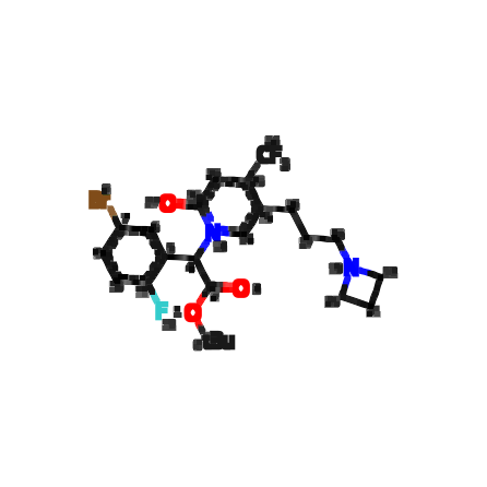 CC(C)(C)OC(=O)C(c1cc(Br)ccc1F)n1cc(CCCN2CCC2)c(C(F)(F)F)cc1=O